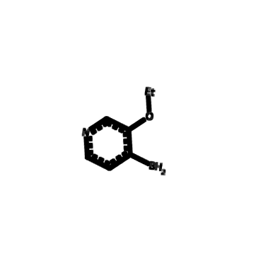 Bc1ccncc1OCC